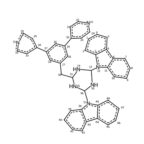 c1ccc2c(c1)c1ccccc1n2C1NC(Cc2cc(-c3ccncc3)cc(-c3ccncc3)c2)NC(n2c3ccccc3c3ccccc32)N1